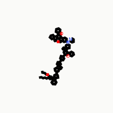 CCCCCCCC1(CCCCCCC)c2ccccc2-c2ccc(-c3ccc4c(c3)C(C)(C)c3cc(-c5ccc(-c6cc7c(c8c6oc6ccccc68)-c6ccc(N(c8ccc9c(c8)C(C)(C)c8c%10c(c%11c(oc%12ccccc%12%11)c8-9)-c8ccccc8C%10(C)C)c8ccccn8)cc6C7(C)C)cc5)ccc3-4)cc21